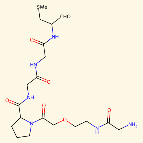 CSCC(C=O)NC(=O)CNC(=O)CNC(=O)C1CCCN1C(=O)COCCNC(=O)CN